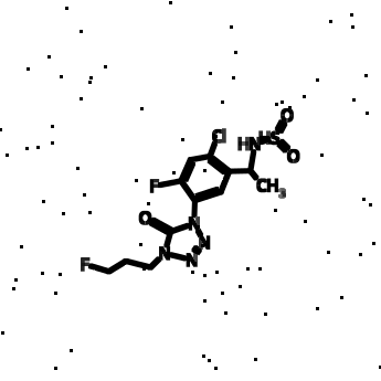 CC(N[SH](=O)=O)c1cc(-n2nnn(CCCF)c2=O)c(F)cc1Cl